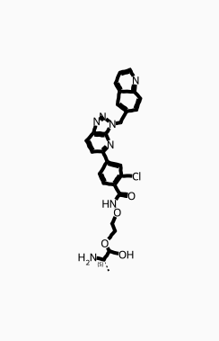 C[C@H](N)C(O)OCCONC(=O)c1ccc(-c2ccc3nnn(Cc4ccc5ncccc5c4)c3n2)cc1Cl